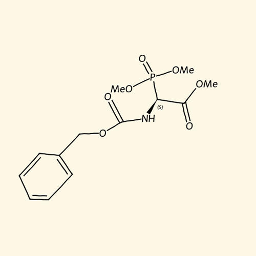 COC(=O)[C@@H](NC(=O)OCc1ccccc1)P(=O)(OC)OC